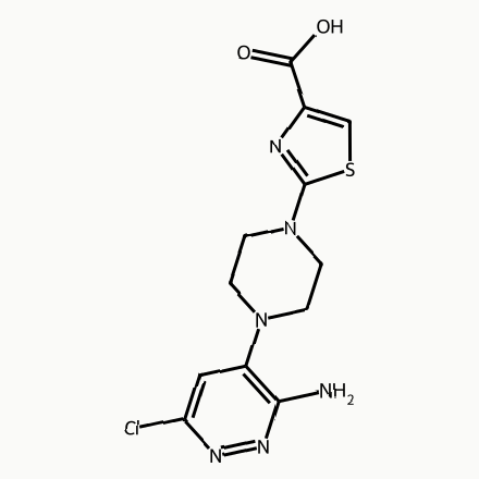 Nc1nnc(Cl)cc1N1CCN(c2nc(C(=O)O)cs2)CC1